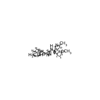 COc1cccc(F)c1-c1cc(C)ncc1C(=O)Nc1nnc(OCC2=C/CCC/C=C(C(C)(C)O)/C=C\2)s1